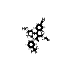 CCOC(=O)C1=C(C)N(c2cccc(C(F)(F)F)c2)C(=O)N(CC(=O)O)C1c1ccc(C#N)cc1